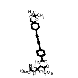 COC(=O)[C@@H](NC(=O)c1ccc(C#CC#CC2CCC3(CC2)COC(C)(C)O3)cc1)C(C)(C)NC(=O)OC(C)(C)C